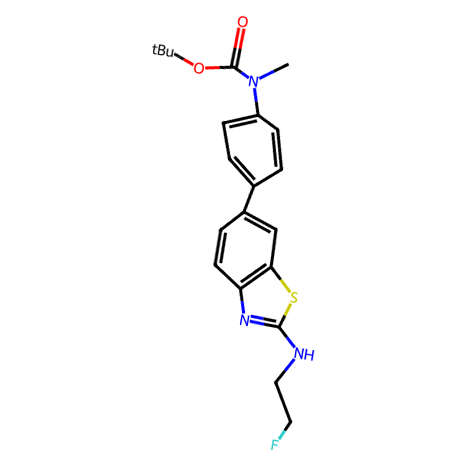 CN(C(=O)OC(C)(C)C)c1ccc(-c2ccc3nc(NCCF)sc3c2)cc1